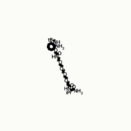 CC(C)[C@H](NC(=O)CCOCCOCCOCCOCCNC(=O)COC1CCCCC/C(NC(C)(C)C)=C\1N)C(N)=O